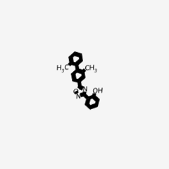 Cc1ccccc1-c1ccc(-c2nc(-c3ccccc3O)no2)cc1C